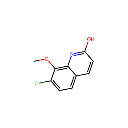 COc1c(Cl)ccc2ccc(O)nc12